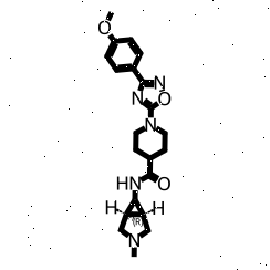 COc1ccc(-c2noc(N3CCC(C(=O)NC4[C@H]5CN(C)C[C@@H]45)CC3)n2)cc1